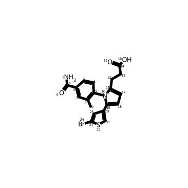 Cc1cc(C(N)=O)ccc1-n1c(CCC(=O)O)ccc1-c1csc(Br)c1